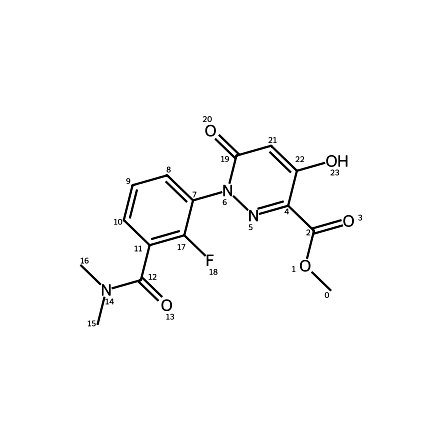 COC(=O)c1nn(-c2cccc(C(=O)N(C)C)c2F)c(=O)cc1O